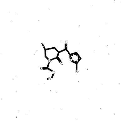 CC1CC(C(=O)c2ccc(Br)s2)C(=O)N(C(=O)OC(C)(C)C)C1